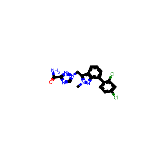 Cn1nc2c(-c3ccc(Cl)cc3Cl)cccc2c1Cn1cnc(C(N)=O)n1